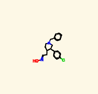 ON=CCC1CCN(Cc2ccccc2)CC1c1ccc(Cl)cc1